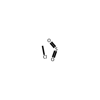 CCl.O=S=O